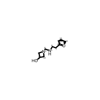 OC1CN(CNCCc2ccco2)C1